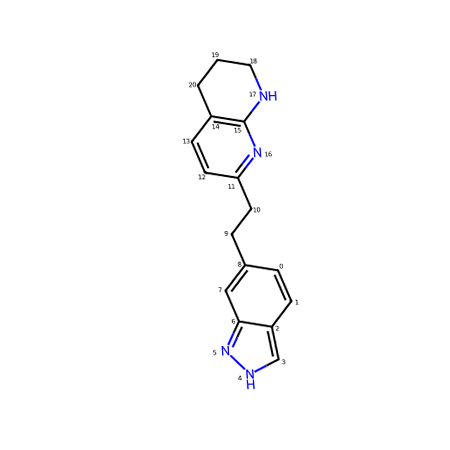 c1cc2c[nH]nc2cc1CCc1ccc2c(n1)NCCC2